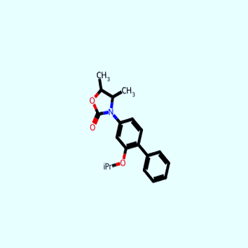 CC(C)Oc1cc(N2C(=O)OC(C)C2C)ccc1-c1ccccc1